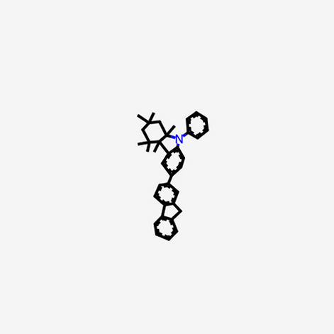 CC1(C)CC(C)(C)C2(C)c3cc(-c4ccc5c(c4)Cc4ccccc4-5)ccc3N(c3ccccc3)C2(C)C1